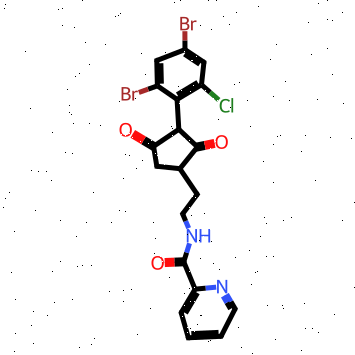 O=C(NCCC1CC(=O)C(c2c(Cl)cc(Br)cc2Br)C1=O)c1ccccn1